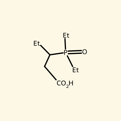 CCC(CC(=O)O)P(=O)(CC)CC